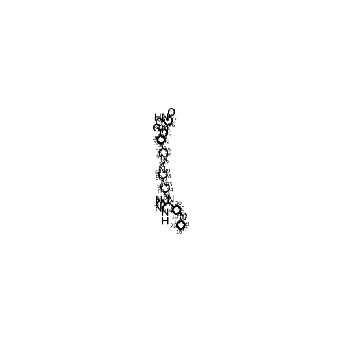 Nc1ncnc2c1c(-c1ccc(Oc3ccccc3)cc1)nn2C1CCN(C2CCN(CCN3CCC(c4ccc5c(c4)CN(C4CCC(=O)NC4=O)C5=O)CC3)CC2)CC1